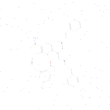 NC(=O)c1ccc(C(CC(=O)OCc2ccccc2)CC(=O)OCc2ccccc2)c2c1OCCCc1cc(N)ccc1C(=O)O2